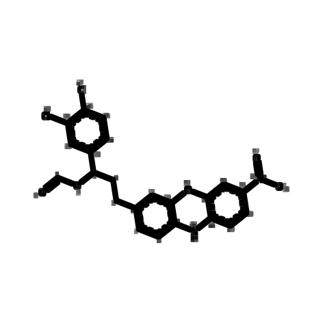 O=COC(CCc1ccc2c(c1)Oc1cc([N+](=O)[O-])ccc1N2)c1ccc(Cl)c(Cl)c1